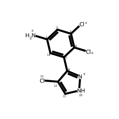 Nc1cc(Cl)c(Cl)c(-c2n[nH]cc2Cl)c1